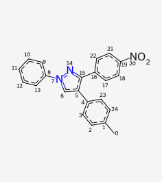 Cc1ccc(-c2cn(-c3ccccc3)nc2-c2ccc([N+](=O)[O-])cc2)cc1